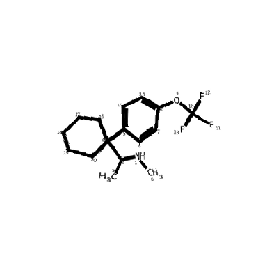 CNC(C)C1(c2ccc(OC(F)(F)F)cc2)CCCCC1